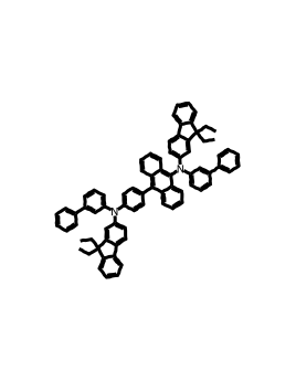 CCC1(CC)c2ccccc2-c2ccc(N(c3ccc(-c4c5ccccc5c(N(c5cccc(-c6ccccc6)c5)c5ccc6c(c5)C(CC)(CC)c5ccccc5-6)c5ccccc45)cc3)c3cccc(-c4ccccc4)c3)cc21